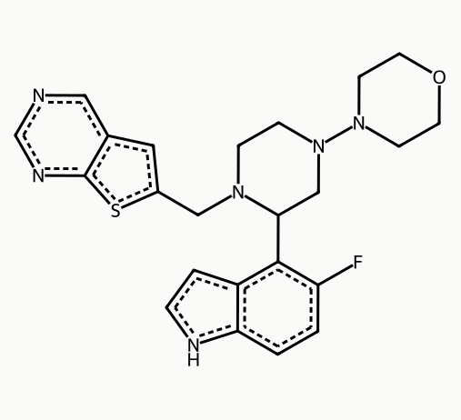 Fc1ccc2[nH]ccc2c1C1CN(N2CCOCC2)CCN1Cc1cc2cncnc2s1